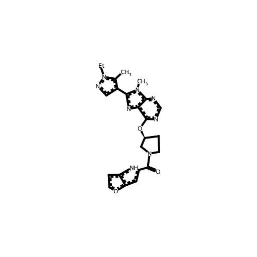 CCn1ncc(-c2nc3c(O[C@H]4CCN(C(=O)c5cc6occc6[nH]5)C4)ncnc3n2C)c1C